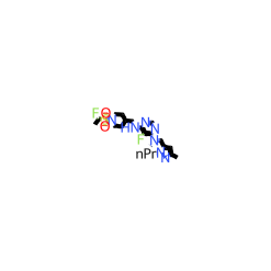 CCCn1nc(C)cc1CN(C)c1ncnc(NCC2CCN(S(=O)(=O)C(C)F)CC2)c1F